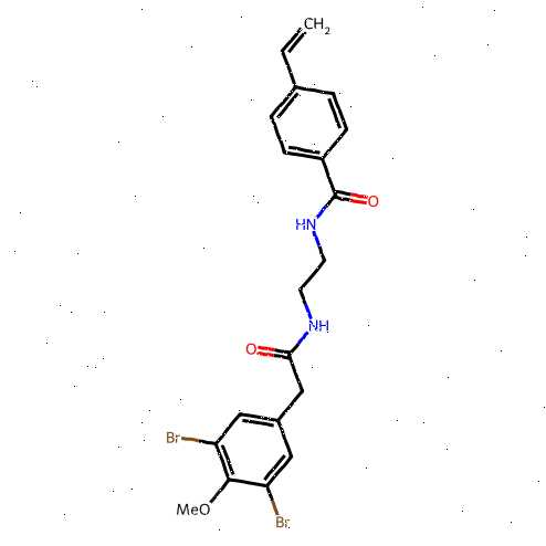 C=Cc1ccc(C(=O)NCCNC(=O)Cc2cc(Br)c(OC)c(Br)c2)cc1